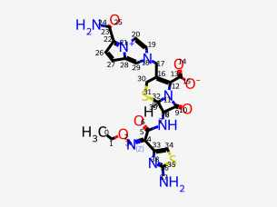 CCO/N=C(\C(=O)N[C@@H]1C(=O)N2C(C(=O)[O-])=C(Cn3cc[n+]4c(C(N)=O)ccc-4c3)CS[C@H]12)c1csc(N)n1